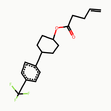 C=CCCC(=O)OC1CCC(c2ccc(C(F)(F)F)cc2)CC1